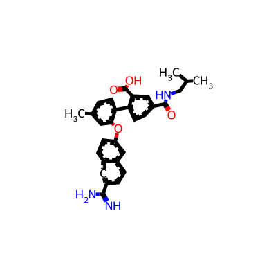 Cc1ccc(-c2ccc(C(=O)NCC(C)C)cc2C(=O)O)c(Oc2ccc3cc(C(=N)N)ccc3c2)c1